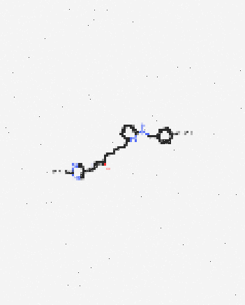 COc1ccc(CNc2cccc(CCCCC(=O)/C=C/c3cnc(OC)nc3)n2)cc1